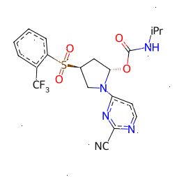 CC(C)NC(=O)O[C@H]1C[C@H](S(=O)(=O)c2ccccc2C(F)(F)F)CN1c1ccnc(C#N)n1